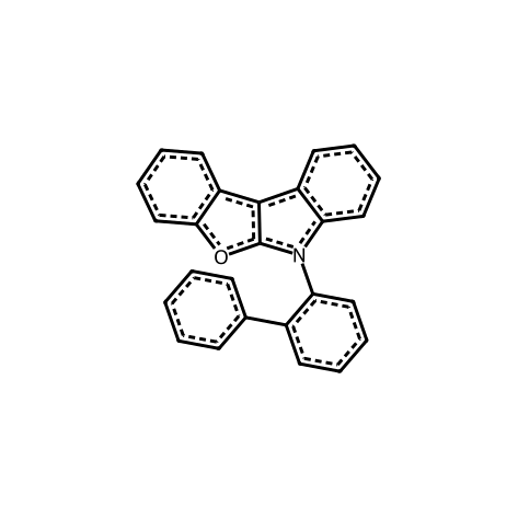 c1ccc(-c2ccccc2-n2c3ccccc3c3c4ccccc4oc32)cc1